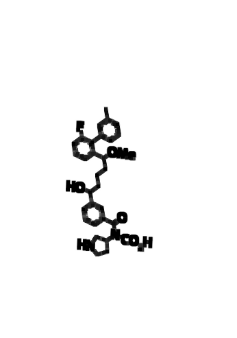 COC(CCCC(O)c1cccc(C(=O)N(C(=O)O)C2CCNC2)c1)c1cccc(F)c1-c1cccc(C)c1